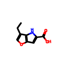 CCc1coc2cc(C(=O)O)[nH]c12